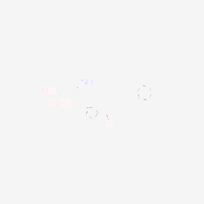 Cc1cc(C)cc(CCCCC(=O)c2ccc(CCC(C)(N)CCP(=O)(O)O)s2)c1